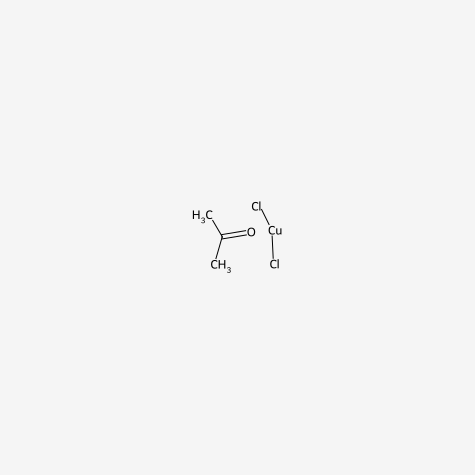 CC(C)=O.[Cl][Cu][Cl]